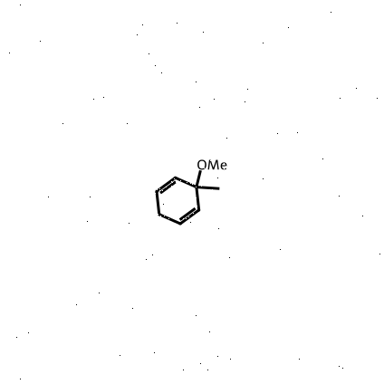 COC1(C)C=CCC=C1